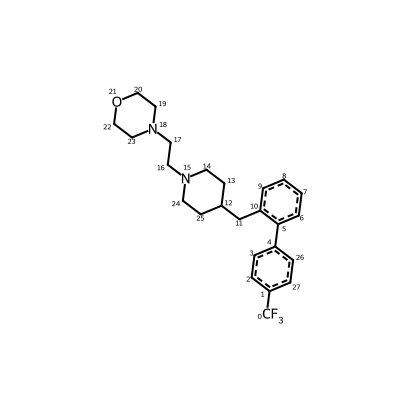 FC(F)(F)c1ccc(-c2ccccc2CC2CCN(CCN3CCOCC3)CC2)cc1